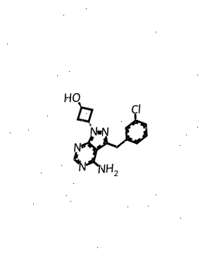 Nc1ncnc2c1c(Cc1cccc(Cl)c1)nn2[C@H]1C[C@H](O)C1